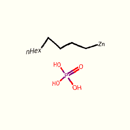 CCCCCCCCC[CH2][Zn].O=P(O)(O)O